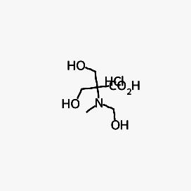 CN(CO)C(CO)(CO)C(=O)O.Cl